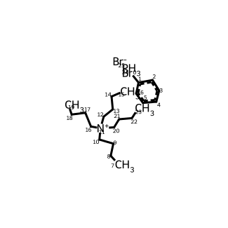 Brc1ccccc1.CCCC[N+](CCCC)(CCCC)CCCC.P.[Br-]